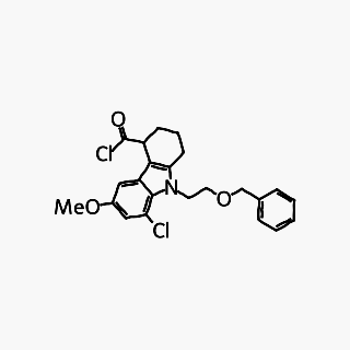 COc1cc(Cl)c2c(c1)c1c(n2CCOCc2ccccc2)CCCC1C(=O)Cl